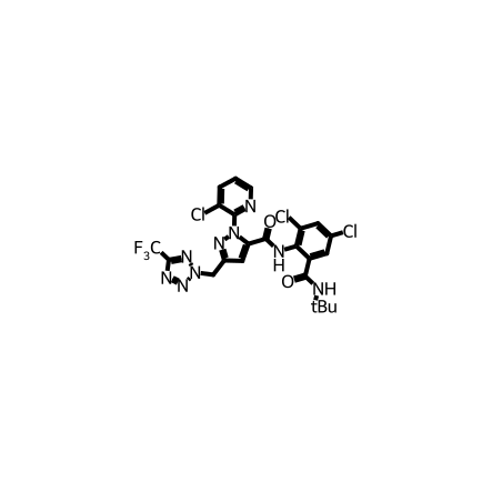 CC(C)(C)NC(=O)c1cc(Cl)cc(Cl)c1NC(=O)c1cc(Cn2nnc(C(F)(F)F)n2)nn1-c1ncccc1Cl